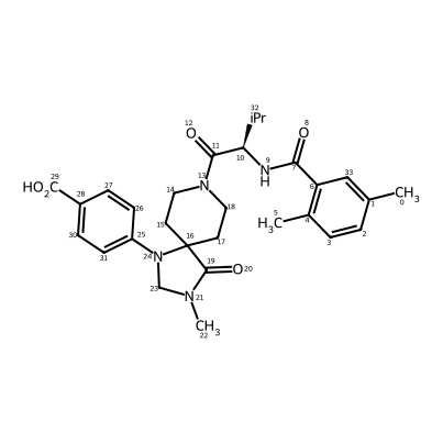 Cc1ccc(C)c(C(=O)N[C@@H](C(=O)N2CCC3(CC2)C(=O)N(C)CN3c2ccc(C(=O)O)cc2)C(C)C)c1